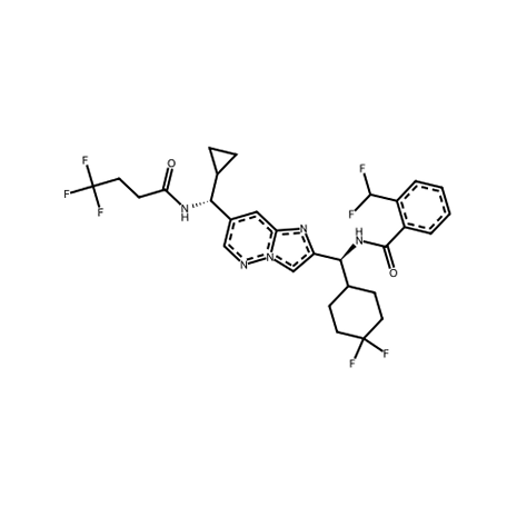 O=C(CCC(F)(F)F)N[C@@H](c1cnn2cc([C@@H](NC(=O)c3ccccc3C(F)F)C3CCC(F)(F)CC3)nc2c1)C1CC1